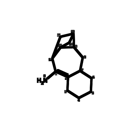 NC1=C2CCCCC2CC2C3CC1C2C3